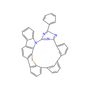 c1ccc(-c2nc3nc(n2)n2c4ccccc4c4ccc5c6cccc(c7cccc(c7)c7cccc3c7)c6sc5c42)cc1